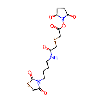 O=C(CSCC(=O)ON1C(=O)CCC1=O)NCCCCN1C(=O)CSC1=O